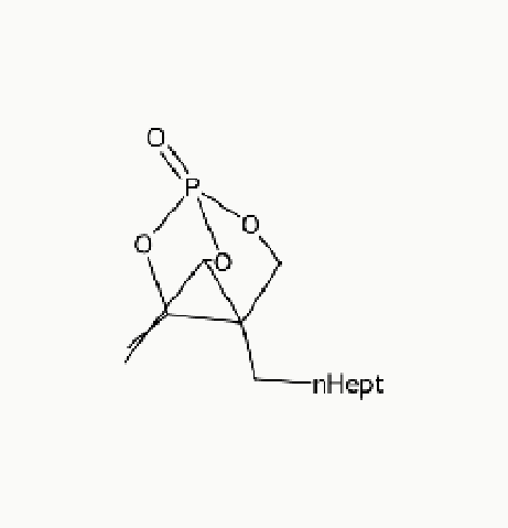 CCCCCCCCC12COP(=O)(OC1C)OC2C